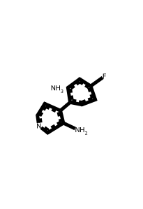 N.Nc1cnccc1-c1ccc(F)cc1